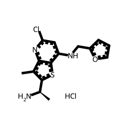 Cc1c([C@@H](C)N)sc2c(NCc3ccco3)cc(Cl)nc12.Cl